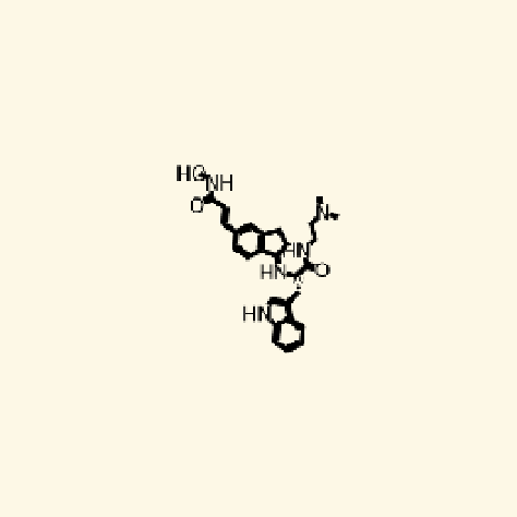 CN(C)CCNC(=O)[C@H](Cc1c[nH]c2ccccc12)NC1CCc2cc(C=CC(=O)NO)ccc21